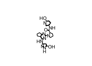 O=C(Nc1ccc(O)nc1)C1CCCN1c1nc2c(c(Nc3cc(O)[nH]n3)n1)CCC2